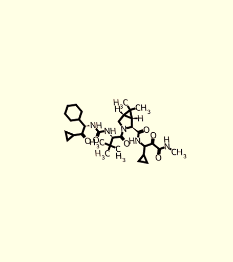 CNC(=O)C(=O)C(NC(=O)[C@@H]1[C@@H]2[C@H](CN1C(=O)[C@@H](NC(=O)N[C@H](C(=O)C1CC1)C1CCCCC1)C(C)(C)C)C2(C)C)C1CC1